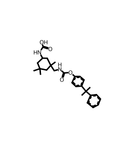 CC1(C)CC(NC(=O)O)CC(C)(CNC(=O)Oc2ccc(C(C)(C)c3ccccc3)cc2)C1